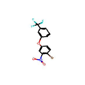 O=[N+]([O-])c1cc(Oc2cccc(C(F)(F)F)c2)ccc1Br